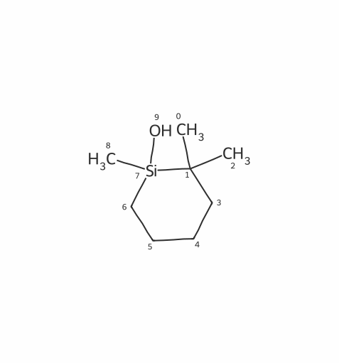 CC1(C)CCCC[Si]1(C)O